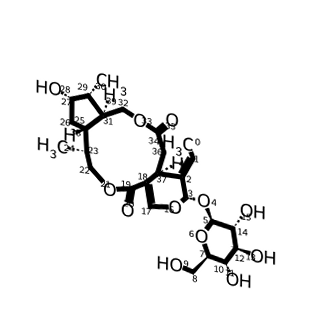 C/C=C1/[C@H](O[C@@H]2O[C@H](CO)[C@@H](O)[C@H](O)[C@H]2O)OC=C2C(=O)OC[C@H](C)[C@@H]3C[C@H](O)[C@H](C)[C@H]3COC(=O)C[C@H]21